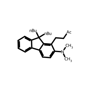 CCCCC1(CCCC)c2ccccc2-c2ccc(N(C)C)c(CCC(C)=O)c21